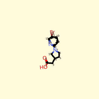 O=C(O)CC1CCN(c2ccc(Br)cn2)C1